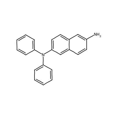 Nc1ccc2cc(N(c3ccccc3)c3ccccc3)ccc2c1